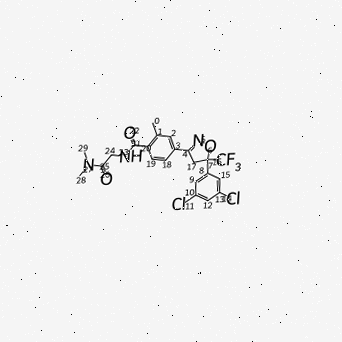 Cc1cc(C2=NOC(c3cc(Cl)cc(Cl)c3)(C(F)(F)F)C2)ccc1C(=O)NCC(=O)N(C)C